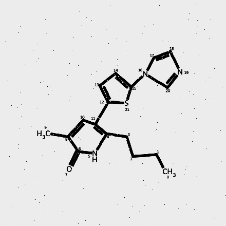 CCCCc1[nH]c(=O)c(C)cc1-c1ccc(-n2ccnc2)s1